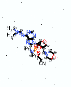 CC(C)N(C(C)C)P(OCCC#N)OC1C2OC[C@]1(CN1CCOCC1)O[C@H]2n1cnc2c(/N=C/N(C)C)ncnc21